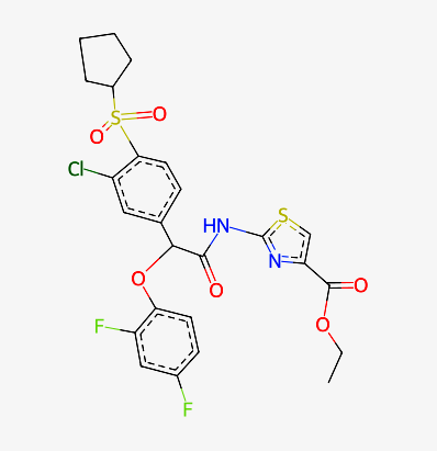 CCOC(=O)c1csc(NC(=O)C(Oc2ccc(F)cc2F)c2ccc(S(=O)(=O)C3CCCC3)c(Cl)c2)n1